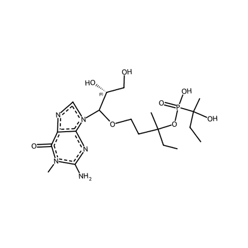 CCC(C)(CCOC([C@H](O)CO)n1cnc2c(=O)n(C)c(N)nc21)OP(=O)(O)C(C)(O)CC